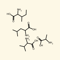 CC(C)C(N)C(=O)O.CC(C)CC(N)C(=O)O.CC(N)C(=O)O.CCC(C)C(N)C(=O)O